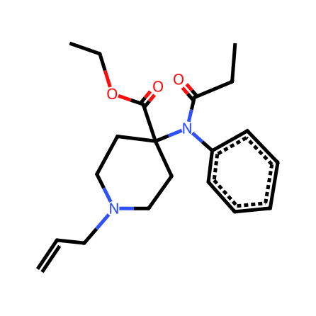 C=CCN1CCC(C(=O)OCC)(N(C(=O)CC)c2ccccc2)CC1